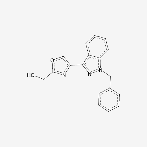 OCc1nc(-c2nn(Cc3ccccc3)c3ccccc23)co1